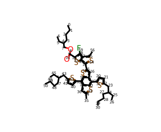 CCCCC(CC)COC(=O)c1sc2c(-c3cc4c(-c5ccc(CC(CC)CCCC)s5)c5sc(C)cc5c(-c5ccc(CC(CC)CCCC)s5)c4s3)sc(C)c2c1F